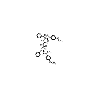 COc1ccc(N(C)C(=O)[C@H](Cc2ccccc2)NC(=O)NS(=O)(=O)N[C@H](Cc2ccccc2)C(=O)N(C)c2ccc(OC)cc2)cc1